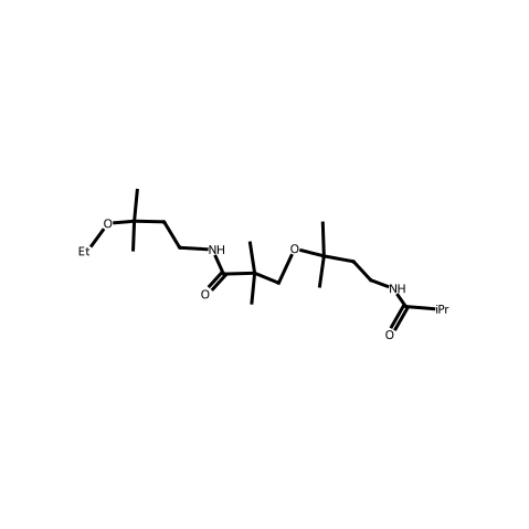 CCOC(C)(C)CCNC(=O)C(C)(C)COC(C)(C)CCNC(=O)C(C)C